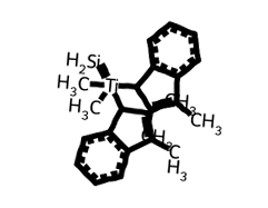 CC1=C(C)[CH]([Ti]([CH3])([CH3])(=[SiH2])[CH]2C(C)=C(C)c3ccccc32)c2ccccc21